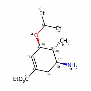 CCOC(=O)C1=C[C@@H](OC(CC)CC)[C@H](C)[C@@H](N)C1